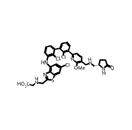 COc1nc(-c2cccc(-c3cccc(Nc4cc(Cl)cc5sc(CNCC(=O)O)nc45)c3Cl)c2Cl)ccc1CNC[C@@H]1CCC(=O)N1